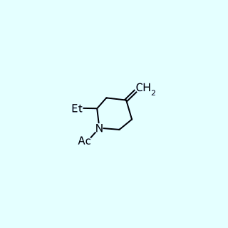 C=C1CCN(C(C)=O)C(CC)C1